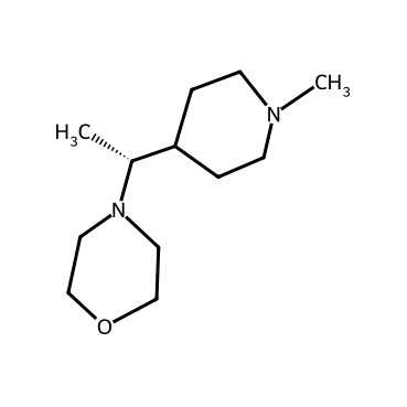 C[C@H](C1CCN(C)CC1)N1CCOCC1